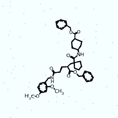 COc1ccc(CNC(=O)CCC(CC2(C(=O)NC3CCC(C(=O)OCc4ccccc4)CC3)CCCC2)C(=O)OCc2ccccc2)c(OC)c1